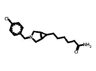 NC(=O)CCCCCC1C2CN(Cc3ccc(Cl)cc3)CC12